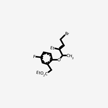 CCOC(=O)Cc1cc(F)ccc1OC(C)/C(=C/CBr)CC